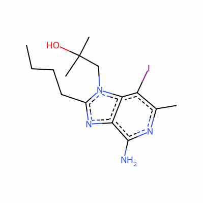 CCCCc1nc2c(N)nc(C)c(I)c2n1CC(C)(C)O